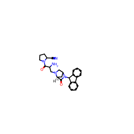 N#CC1CCCN1C(=O)C(N)CN1CC2C[C@H]1C(=O)N2C1c2ccccc2-c2ccccc21